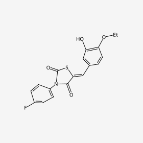 CCOc1ccc(/C=C2\SC(=O)N(c3ccc(F)cc3)C2=O)cc1O